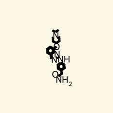 CC(C)N1CCC(Oc2cccc3cnc(Nc4ccc(CC(N)=O)cc4)nc23)CC1